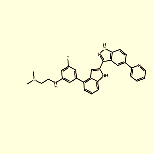 CN(C)CCNc1cc(F)cc(-c2cccc3[nH]c(-c4n[nH]c5ccc(-c6ccccn6)cc45)cc23)c1